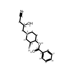 N#CC[C@@H](O)CN1CCC(OC(=O)c2ccccc2)C(F)C1